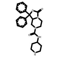 O=C(NC1CCNCC1)N1CCN2C(=O)OC(c3ccccc3)(c3ccccc3)C2C1